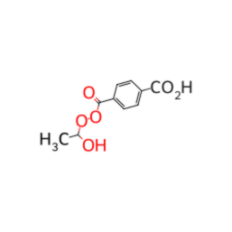 CC(O)OOC(=O)c1ccc(C(=O)O)cc1